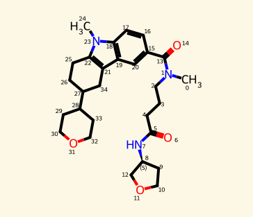 CN(CCCC(=O)N[C@H]1CCOC1)C(=O)c1ccc2c(c1)c1c(n2C)CCC(C2CCOCC2)C1